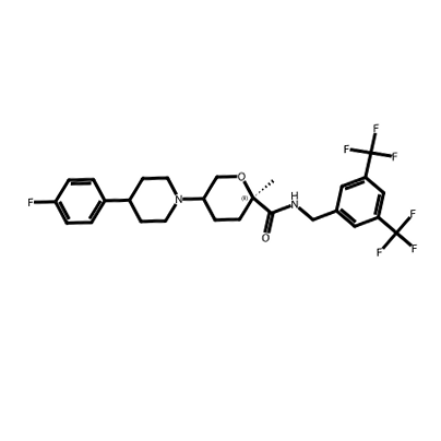 C[C@]1(C(=O)NCc2cc(C(F)(F)F)cc(C(F)(F)F)c2)CCC(N2CCC(c3ccc(F)cc3)CC2)CO1